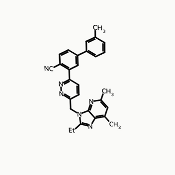 CCc1nc2c(C)cc(C)nc2n1Cc1ccc(-c2cc(-c3cccc(C)c3)ccc2C#N)nn1